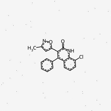 Cc1cc(-c2c(-c3ccccc3)c3cccc(Cl)c3[nH]c2=O)on1